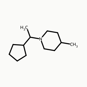 CC1CCN(C(C)C2CCCC2)CC1